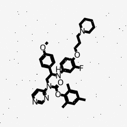 COc1ccc(C(CN(C(=O)Oc2c(C)cc(C)cc2C)c2ccncn2)Nc2ccc(OCCCN3CCCCC3)c(F)c2)cc1